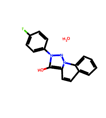 O.OC1=C2C=Cc3ccccc3N2[N]N1c1ccc(F)cc1